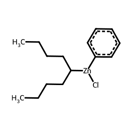 CCCC[CH](CCCC)[Zn]([Cl])[c]1ccccc1